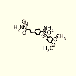 COc1ccc(S(=O)(=O)N(N)c2ccc(/C=C/C(=O)N(N)N=O)cc2)cc1OC